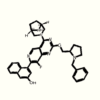 Oc1cc(-c2ncc3c(N4C[C@H]5CC[C@@H](C4)N5)nc(OCC4CCCN4Cc4ccccc4)nc3c2F)c2ccccc2c1